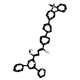 C=N/C(=C\C=C(/C)c1ccc(-c2ccc(-c3ccc4c(c3)-c3ccccc3S4(=O)=O)cc2)cc1)c1cc(-c2ccccc2)cc(-c2ccccn2)n1